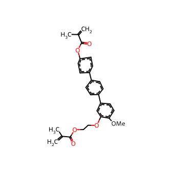 C=C(C)C(=O)OCCOc1cc(-c2ccc(-c3ccc(OC(=O)C(=C)C)cc3)cc2)ccc1OC